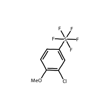 COc1ccc(S(F)(F)(F)(F)F)cc1Cl